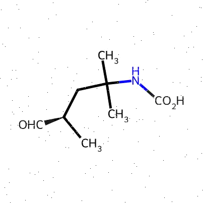 C[C@@H](C=O)CC(C)(C)NC(=O)O